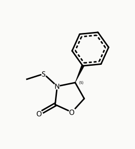 CSN1C(=O)OC[C@@H]1c1ccccc1